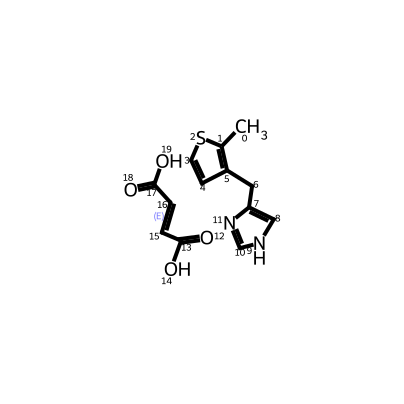 Cc1sccc1Cc1c[nH]cn1.O=C(O)/C=C/C(=O)O